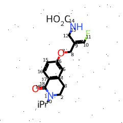 CC(C)N1CCc2cc(OCC(=CF)CNC(=O)O)ccc2C1=O